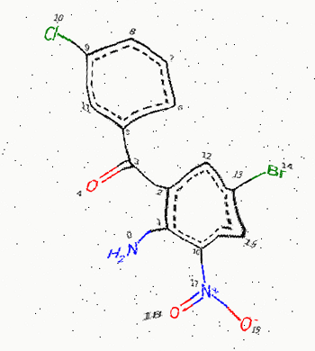 Nc1c(C(=O)c2cccc(Cl)c2)cc(Br)cc1[N+](=O)[O-]